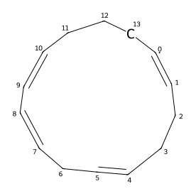 [C]1=CCCC=CCC=CC=CCCC1